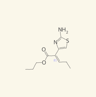 CC/C=C(/C(=O)OCCC)c1csc(N)n1